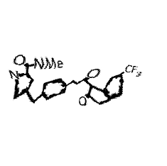 CNC(=O)c1cc(Cc2ccc(CCC(=O)C3C(=O)Cc4ccc(C(F)(F)F)cc43)cc2)ccn1